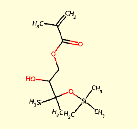 C=C(C)C(=O)OCC(O)C(C)([SiH3])O[Si](C)(C)C